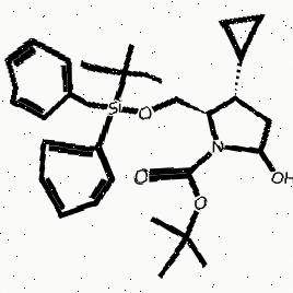 CC(C)(C)OC(=O)N1C(O)C[C@@H](C2CC2)[C@@H]1CO[Si](c1ccccc1)(c1ccccc1)C(C)(C)C